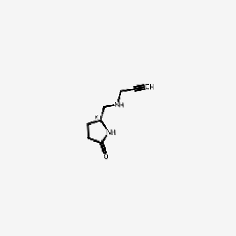 C#CCNC[C@@H]1CCC(=O)N1